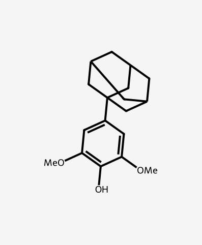 COc1cc(C23CC4CC(CC(C4)C2)C3)cc(OC)c1O